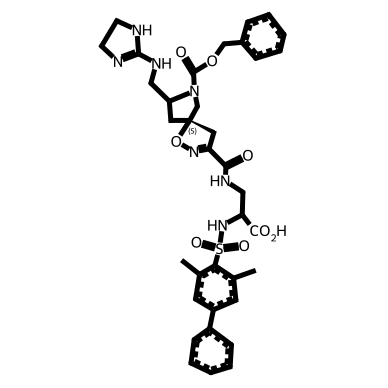 Cc1cc(-c2ccccc2)cc(C)c1S(=O)(=O)NC(CNC(=O)C1=NO[C@]2(C1)CC(CNC1=NCCN1)N(C(=O)OCc1ccccc1)C2)C(=O)O